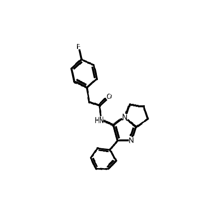 O=C(Cc1ccc(F)cc1)Nc1c(-c2ccccc2)nc2n1CCC2